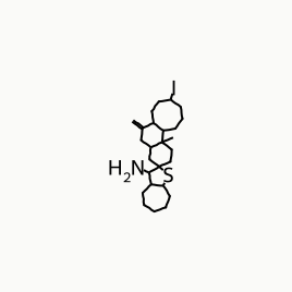 C=C1CC2CC3(CCC2(C)C2CCCC(I)CCC12)SC1CCCCCC1C3N